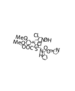 COc1ccc([C@H](Cc2c(Cl)c[n+](O)cc2Cl)c2cc(CNC(C(=O)OC[C@@H]3CCCN(C)C3)c3ccccc3)sc2C(=O)[O-])cc1OC